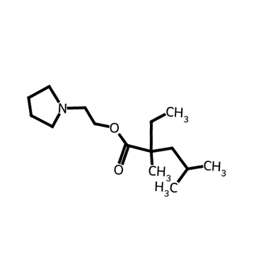 CCC(C)(CC(C)C)C(=O)OCCN1CCCC1